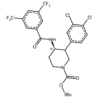 CC(C)(C)OC(=O)N1CC[C@@H](NC(=O)c2cc(C(F)(F)F)cc(C(F)(F)F)c2)C(c2ccc(Cl)c(Cl)c2)C1